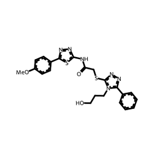 COc1ccc(-c2nnc(NC(=O)CSc3nnc(-c4ccccc4)n3CCCO)s2)cc1